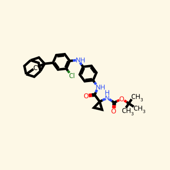 CC(C)(C)OC(=O)NC1(C(=O)Nc2ccc(Nc3ccc(C45CC6CC(CC4C6)C5)cc3Cl)cc2)CC1